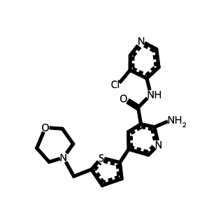 Nc1ncc(-c2ccc(CN3CCOCC3)s2)cc1C(=O)Nc1ccncc1Cl